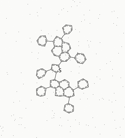 c1ccc(-c2cc(-c3cc(-c4ccccc4)c4ccc5c(-c6ccccc6)cc(-c6ccccc6)c6ccc3c4c56)sc2-c2cc(-c3ccccc3)c3ccc4c(-c5ccccc5)cc(-c5ccccc5)c5ccc2c3c45)cc1